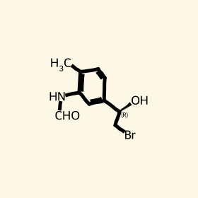 Cc1ccc([C@@H](O)CBr)cc1NC=O